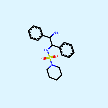 NC(c1ccccc1)C(NS(=O)(=O)N1CCCCC1)c1ccccc1